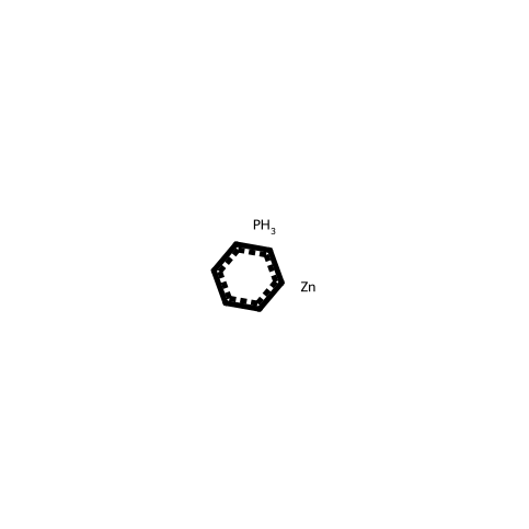 P.[Zn].c1ccccc1